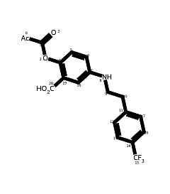 CC(=O)C(=O)Oc1ccc(NCCc2ccc(C(F)(F)F)cc2)cc1C(=O)O